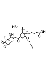 Br.C=CCCCOc1cc(C(=O)CN2Cc3cc(OC)c(OC)c(F)c3C2=N)cc(C(C)(C)C)c1OCCCCC(=O)O